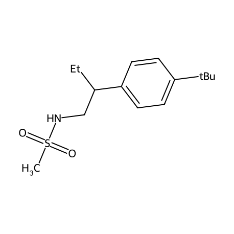 CCC(CNS(C)(=O)=O)c1ccc(C(C)(C)C)cc1